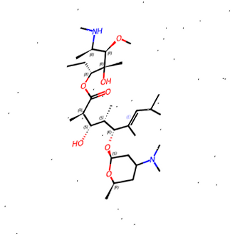 CC[C@@H](OC(=O)[C@H](C)[C@@H](O)[C@H](C)[C@@H](O[C@H]1CC(N(C)C)C[C@@H](C)O1)/C(C)=C/C(C)C)[C@@](C)(O)[C@H](OC)[C@@H](C)NC